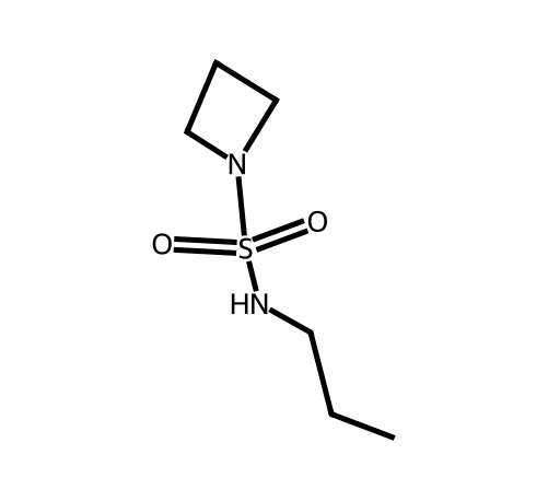 CCCNS(=O)(=O)N1CCC1